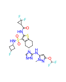 Cn1nc(OC(F)F)cc1Nc1nncn1[C@H]1CCc2sc(NC(=O)C3CC3(F)F)c(S(=O)(=O)NC3CC(F)C3)c2C1